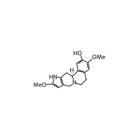 COc1cc2c([nH]1)C[C@H]1c3cc(O)c(OC)cc3CCN1C2